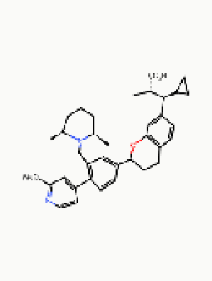 COc1cc(-c2ccc(C3CCc4ccc([C@H](C5CC5)[C@H](C)C(=O)O)cc4O3)cc2CN2[C@H](C)CCC[C@@H]2C)ccn1